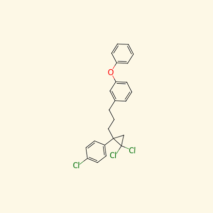 Clc1ccc(C2(CCCc3cccc(Oc4ccccc4)c3)CC2(Cl)Cl)cc1